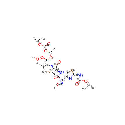 COCC1=C(C(=O)OC(C)OC(=O)OC(C)C)N2C(=O)[C@@H](NC(=O)/C(=N\OC)c3csc(NC(=O)OC(C)C)n3)[C@H]2SC1